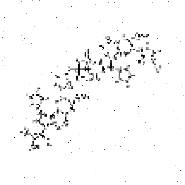 COc1cc2c(cc1C1=CCC(CC(C)(C)N(C)C(=O)c3nn(-c4ccsc4)c4c3COc3cc(OC)c(-c5cnc(C)s5)cc3-4)O1)-c1c(c(C(=O)N(C)C(C)(C)C)nn1-c1ccsc1)CO2